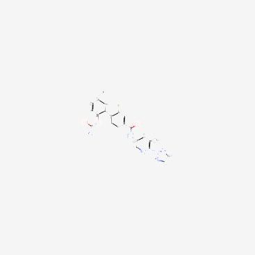 NC(=O)Oc1cc(F)c(Cl)cc1-c1ccc(C(=O)Nc2cnc(-n3nccn3)c(Cl)c2)cc1F